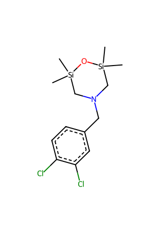 C[Si]1(C)CN(Cc2ccc(Cl)c(Cl)c2)C[Si](C)(C)O1